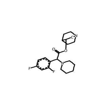 O=C(OC1CN2CCC1CC2)C(c1ccc(F)cc1F)N1CCCCC1